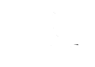 C[C@H]1CC[C@H](c2ccc3c(c2)CCO3)N(C(=O)C(N)=O)C1